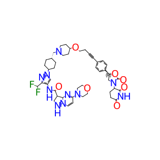 O=C1CCC(N2C[C@@H](c3ccc(C#CCCOC4CCN(C[C@H]5CC[C@H](n6cc(NC(=O)C7CNN8C=CC(N9CCOCC9)=NC78)c(C(F)F)n6)CC5)CC4)cc3)OC2=O)C(=O)N1